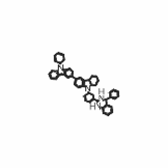 C1=CCC(n2c3ccccc3c3cc(-c4ccc5c(c4)C4C=CC=CC4N5C4C=CC=C(C5Nc6ccccc6C(c6ccccc6)N5)C4)ccc32)C=C1